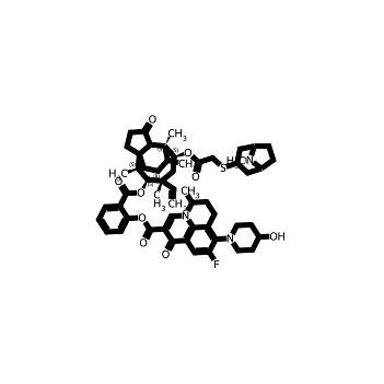 C=C[C@@]1(C)C[C@H](OC(=O)CSC2CC3CCC(C2)N3C)[C@@]2(C)C(C)CCC3(CCC(=O)C32)[C@H](C)[C@@H]1OC(=O)c1ccccc1OC(=O)c1cn2c3c(c(N4CCC(O)CC4)c(F)cc3c1=O)CCC2C